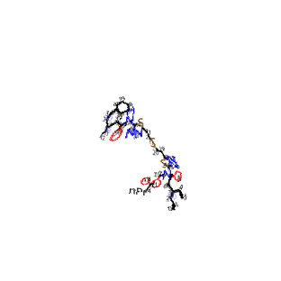 C=C/C=C(\C=C)CC(=O)N(COC(=O)CCC)c1nnc(CCSCCc2nnc(NC(=O)CC(/C=C\C3CCCCC3)=C/C)s2)s1